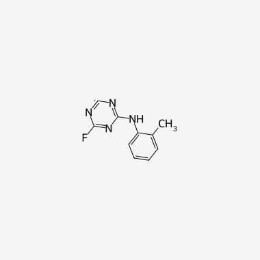 Cc1ccccc1Nc1n[c]nc(F)n1